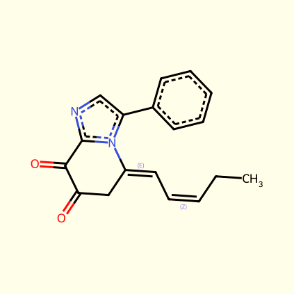 CC/C=C\C=C1/CC(=O)C(=O)c2ncc(-c3ccccc3)n21